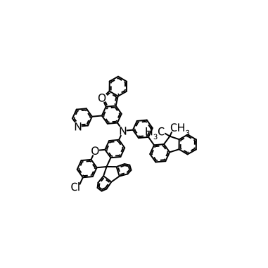 CC1(C)c2ccccc2-c2cccc(-c3cccc(N(c4ccc5c(c4)Oc4ccc(Cl)cc4C54c5ccccc5-c5ccccc54)c4cc(-c5cccnc5)c5oc6ccccc6c5c4)c3)c21